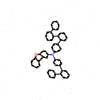 c1ccc(-c2ccccc2-c2ccc(N(c3ccc(-c4ccccc4-c4ccccc4-c4ccccc4)cc3)c3ccc4oc5ccccc5c4c3)cc2)cc1